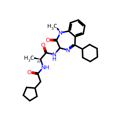 C[C@H](NC(=O)CC1CCCC1)C(=O)NC1N=C(C2CCCCC2)c2ccccc2N(C)C1=O